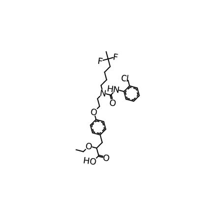 CCOC(Cc1ccc(OCCN(CCCCC(C)(F)F)C(=O)Nc2ccccc2Cl)cc1)C(=O)O